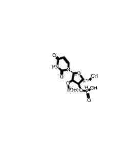 CCCCCCCCCCOC1C(O[PH](=O)O)[C@@H](CO)O[C@H]1n1ccc(=O)[nH]c1=O